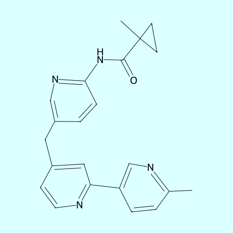 Cc1ccc(-c2cc(Cc3ccc(NC(=O)C4(C)CC4)nc3)ccn2)cn1